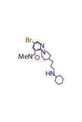 CNC(=O)c1cc(Br)cnc1N1CCC(CCCNC2CCCCC2)CC1